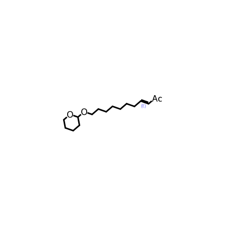 CC(=O)/C=C/CCCCCCCOC1CCCCO1